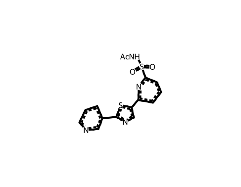 CC(=O)NS(=O)(=O)c1cccc(-c2cnc(-c3cccnc3)s2)n1